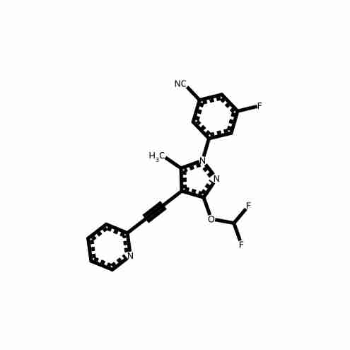 Cc1c(C#Cc2ccccn2)c(OC(F)F)nn1-c1cc(F)cc(C#N)c1